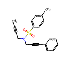 CC#CCN(CC#Cc1ccccc1)S(=O)(=O)c1ccc(C)cc1